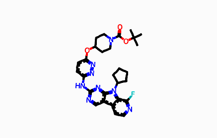 CC(C)(C)OC(=O)N1CCC(Oc2ccc(Nc3ncc4c5ccnc(F)c5n(C5CCCC5)c4n3)nn2)CC1